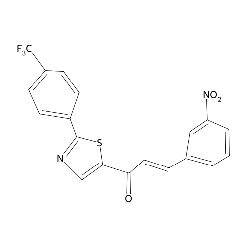 O=C(C=Cc1cccc([N+](=O)[O-])c1)c1[c]nc(-c2ccc(C(F)(F)F)cc2)s1